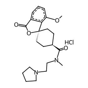 COc1cccc2c1[C@]1(CC[C@H](C(=O)N(C)CCN3CCCC3)CC1)OC2=O.Cl